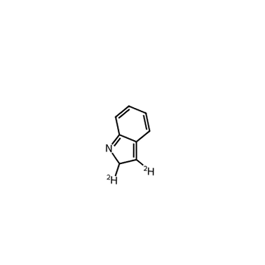 [2H]C1=c2ccccc2=NC1[2H]